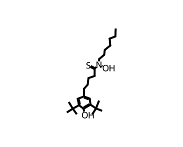 CCCCCCCN(O)C(=S)CCCCc1cc(C(C)(C)C)c(O)c(C(C)(C)C)c1